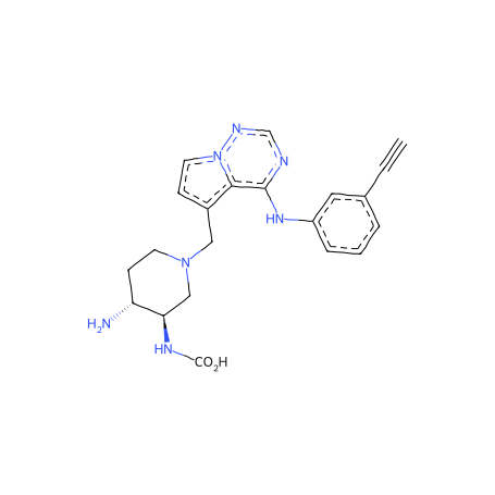 C#Cc1cccc(Nc2ncnn3ccc(CN4CC[C@@H](N)[C@H](NC(=O)O)C4)c23)c1